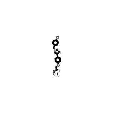 COC(=O)COc1ccc(-c2cn(Cc3ccc(Cl)cc3)nn2)cc1